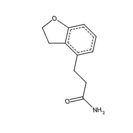 NC(=O)CCc1cccc2c1CCO2